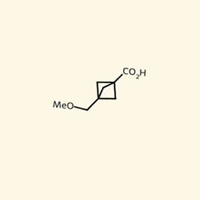 COCC12CC(C(=O)O)(C1)C2